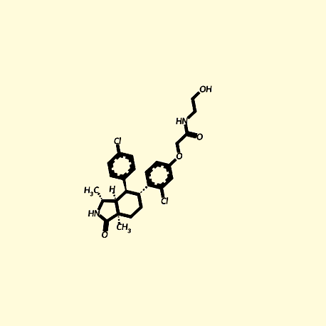 C[C@H]1NC(=O)[C@]2(C)CC[C@@H](c3ccc(OCC(=O)NCCO)cc3Cl)[C@H](c3ccc(Cl)cc3)[C@H]12